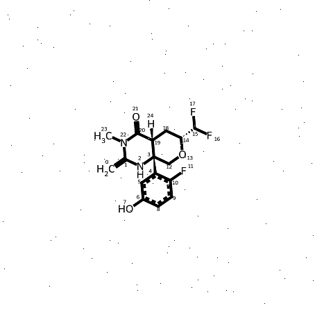 C=C1N[C@@]2(c3cc(O)ccc3F)CO[C@@H](C(F)F)C[C@H]2C(=O)N1C